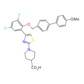 COc1ccc(-c2ccc(COc3c(F)cc(F)cc3-c3csc(N4CCC(C(=O)O)CC4)n3)cc2)cc1